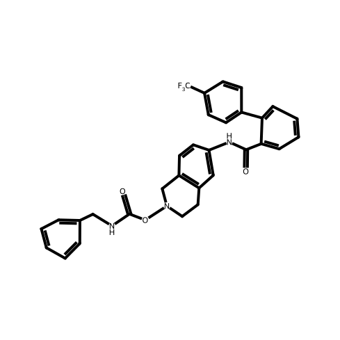 O=C(NCc1ccccc1)ON1CCc2cc(NC(=O)c3ccccc3-c3ccc(C(F)(F)F)cc3)ccc2C1